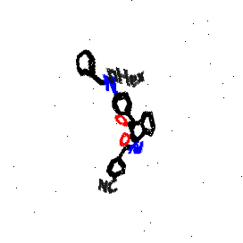 CCCCCCN(CC1CCCCC1)c1ccc2c(c1)oc1c3oc(-c4ccc(C#N)cc4)nc3c3ccccc3c21